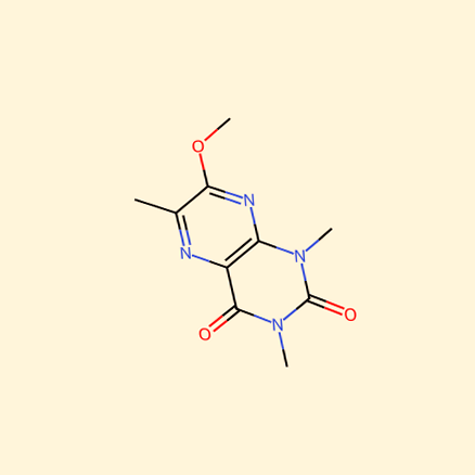 COc1nc2c(nc1C)c(=O)n(C)c(=O)n2C